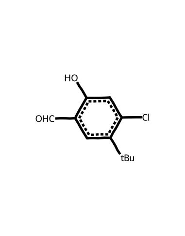 CC(C)(C)c1cc(C=O)c(O)cc1Cl